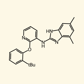 Cc1cc(C)c2nc(Nc3cccnc3Oc3ccccc3C(C)(C)C)[nH]c2c1